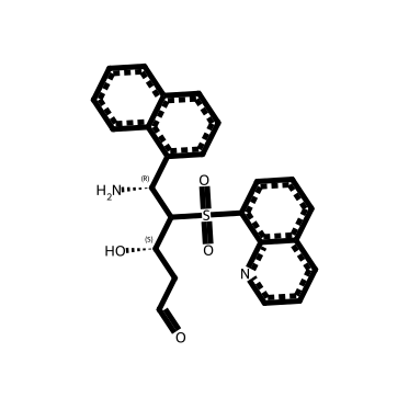 N[C@H](c1cccc2ccccc12)C([C@@H](O)CC=O)S(=O)(=O)c1cccc2cccnc12